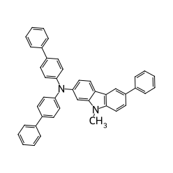 Cn1c2ccc(-c3ccccc3)cc2c2ccc(N(c3ccc(-c4ccccc4)cc3)c3ccc(-c4ccccc4)cc3)cc21